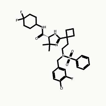 CC1(C)N=C(C2(CCN(Cc3ccc(Cl)c(F)c3)S(=O)(=O)c3ccccc3)CCC2)N[C@H]1C(=O)NC1CCC(F)(F)CC1